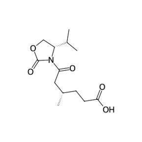 CC(C)[C@H]1COC(=O)N1C(=O)C[C@@H](C)CCC(=O)O